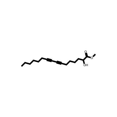 CCCCCCC#CC#CCCCCC(O)C(=O)OC